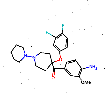 COc1cc(C(=O)C2(Oc3ccc(F)c(F)c3)CCN(N3CCCCC3)CC2)ccc1N